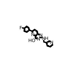 Oc1nc(NCc2cccnc2)nc2ccc(-c3ccc(F)cc3)nc12